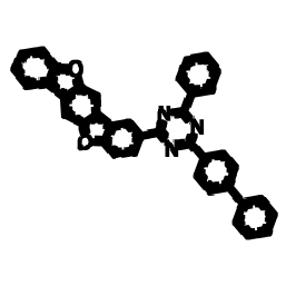 c1ccc(-c2ccc(-c3nc(-c4ccccc4)nc(-c4ccc5oc6cc7c(cc6c5c4)oc4ccccc47)n3)cc2)cc1